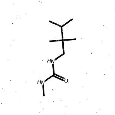 CNC(=O)NCC(C)(C)C(C)C